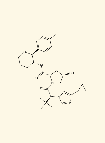 Cc1ccc([C@@H]2OCCC[C@H]2NC(=O)[C@@H]2C[C@@H](O)CN2C(=O)[C@@H](n2cc(C3CC3)nn2)C(C)(C)C)cc1